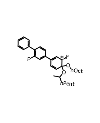 CCCCCCCCOC1(OC(C)CCCCC)C=CC(c2ccc(-c3ccccc3)c(F)c2)=C[C@H]1F